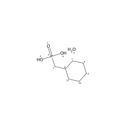 O.O=P(O)(O)CC1CCCCC1